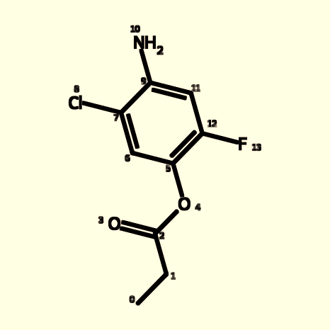 CCC(=O)Oc1cc(Cl)c(N)cc1F